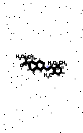 CC1=C(/C=C/c2ccc3cc(C(=O)N(C)C)ccc3c2)C(C)(C)CCC1